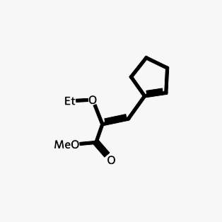 CCOC(=CC1=CCCC1)C(=O)OC